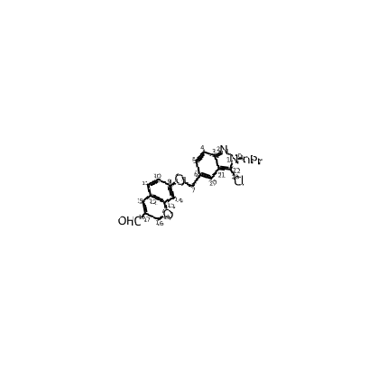 CCCn1nc2ccc(COc3ccc4c(c3)OCC(C=O)=C4)cc2c1Cl